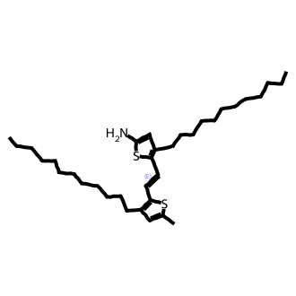 CCCCCCCCCCCCc1cc(C)sc1/C=C/c1sc(N)cc1CCCCCCCCCCCC